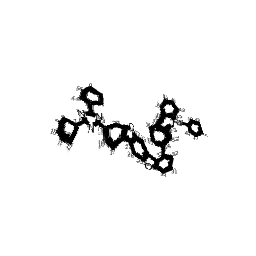 c1ccc(-c2nc(-c3ccccc3)nc(-c3ccc4c(c3)oc3cc5c(cc34)oc3cccc(-c4ccc6c7ccccc7n(-c7ccccc7)c6c4)c35)n2)cc1